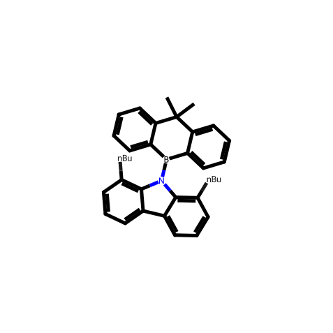 CCCCc1cccc2c3cccc(CCCC)c3n(B3c4ccccc4C(C)(C)c4ccccc43)c12